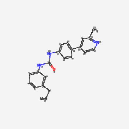 COCc1cccc(NC(=O)Nc2ccc(-c3ccnc(C)c3)cc2)c1